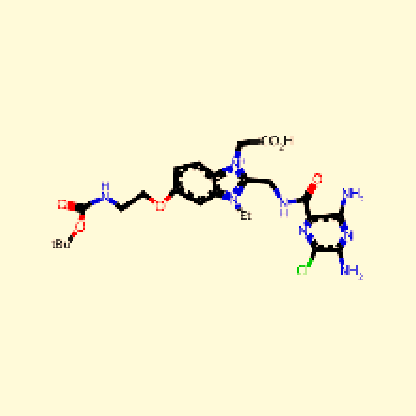 CCn1c(CNC(=O)c2nc(Cl)c(N)nc2N)[n+](CC(=O)O)c2ccc(OCCNC(=O)OC(C)(C)C)cc21